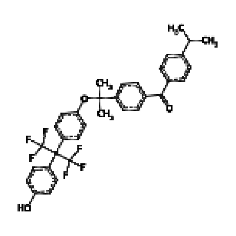 CC(C)c1ccc(C(=O)c2ccc(C(C)(C)Oc3ccc(C(c4ccc(O)cc4)(C(F)(F)F)C(F)(F)F)cc3)cc2)cc1